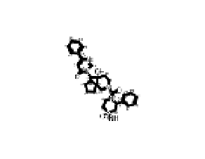 N=S1(=O)CCN(C(=O)N2CC[C@@](O)(Cn3cnc(-c4ccccc4)cc3=O)C3(CCCC3)C2)C(c2ccccc2)C1